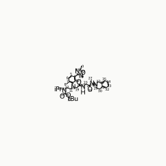 Cc1nc(-c2ccc(C)c(N(CCN(C(=O)OC(C)(C)C)C(C)C)CC(=O)NCC(=O)N(C)N3CCc4ccccc4C3)c2)no1